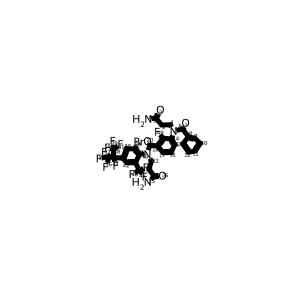 NC(=O)CCN(C(=O)c1ccccc1)c1cccc(C(=O)N(CCC(N)=O)c2c(Br)cc(C(F)(C(F)(F)F)C(F)(F)F)cc2C(F)(F)F)c1F